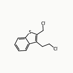 ClCCc1c(CCl)sc2ccccc12